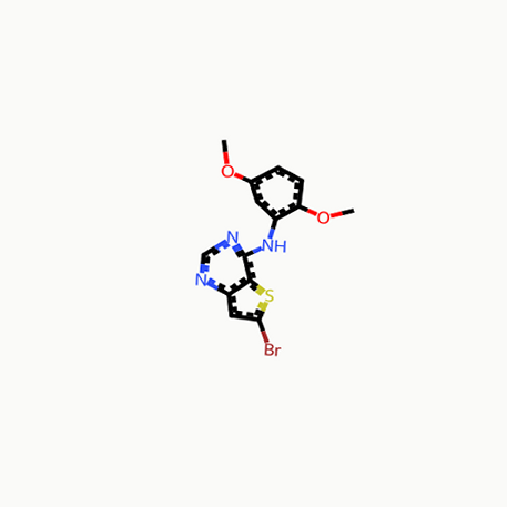 COc1ccc(OC)c(Nc2ncnc3cc(Br)sc23)c1